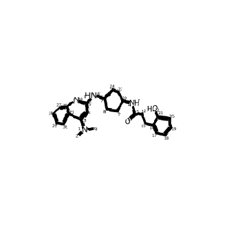 CN(C)c1cc(NC2CCC(NC(=O)CCc3ccccc3O)CC2)nc2ccccc12